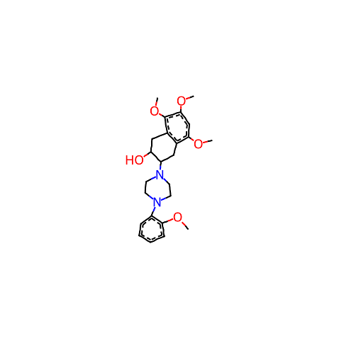 COc1ccccc1N1CCN(C2Cc3c(OC)cc(OC)c(OC)c3CC2O)CC1